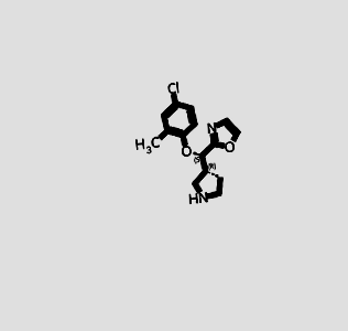 Cc1cc(Cl)ccc1O[C@H](c1ncco1)[C@@H]1CCNC1